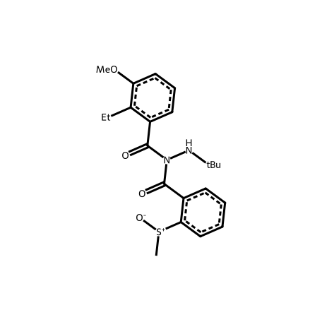 CCc1c(OC)cccc1C(=O)N(NC(C)(C)C)C(=O)c1ccccc1[S+](C)[O-]